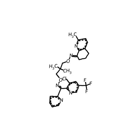 Cc1ccc2c(n1)/C(=N/OCC(C)(C)CO/N=C(/c1ccccn1)c1ncc(C(F)(F)F)cc1Cl)CCC2